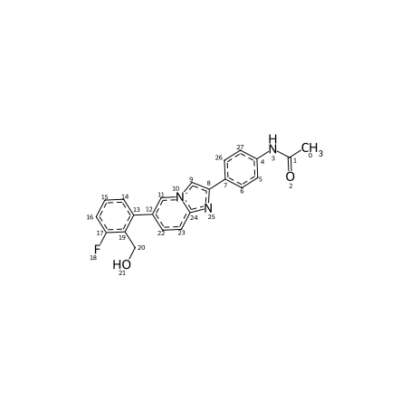 CC(=O)Nc1ccc(-c2cn3cc(-c4cccc(F)c4CO)ccc3n2)cc1